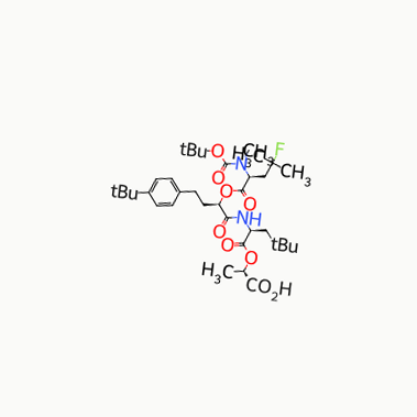 C[C@@H](OC(=O)[C@H](CC(C)(C)C)NC(=O)[C@@H](CCc1ccc(C(C)(C)C)cc1)OC(=O)[C@H](CC(C)(C)F)N(C)C(=O)OC(C)(C)C)C(=O)O